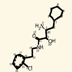 N[C@H](CC1CCCCC1)C(O)C(=O)NCCc1ccccc1Cl